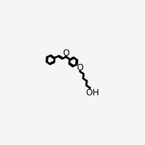 O=C(C=Cc1ccccc1)c1ccc(OCCCCCCO)cc1